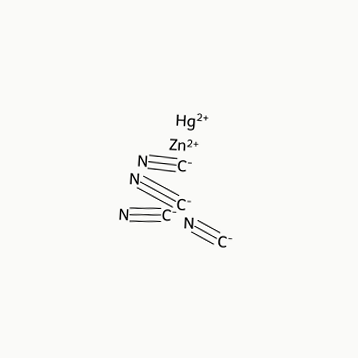 [C-]#N.[C-]#N.[C-]#N.[C-]#N.[Hg+2].[Zn+2]